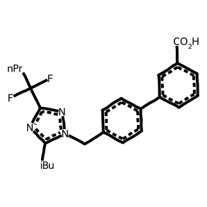 CCCC(F)(F)c1nc(C(C)CC)n(Cc2ccc(-c3cccc(C(=O)O)c3)cc2)n1